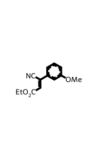 CCOC(=O)C=C(C#N)c1cccc(OC)c1